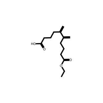 C=C(CCCC(=O)O)C(=C)CCCC(=O)OCC